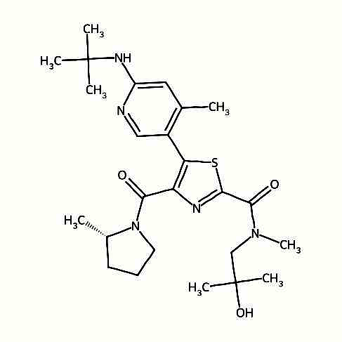 Cc1cc(NC(C)(C)C)ncc1-c1sc(C(=O)N(C)CC(C)(C)O)nc1C(=O)N1CCC[C@@H]1C